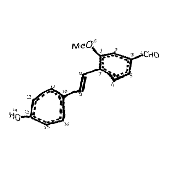 COc1cc(C=O)ccc1/C=C/c1ccc(O)cc1